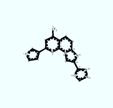 FC(F)(F)c1cc(-c2ccoc2)nc2c1ccc1nc(-c3nnco3)cn12